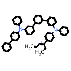 C=C/C=C(\C=C)C1=CCC(N(c2ccccc2)c2cccc(-c3cccc(C4C=CC=C(N(c5ccccc5)c5ccc(-c6ccccc6)cc5)C4)c3)c2)C=C1